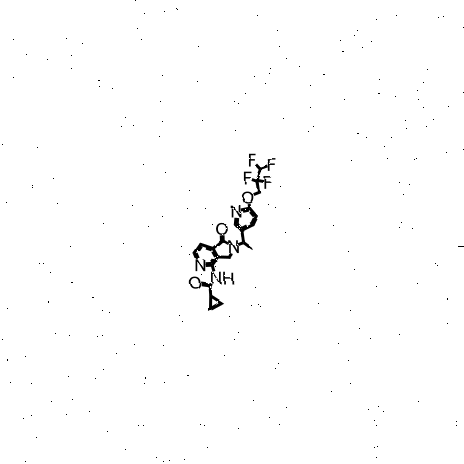 CC(c1ccc(OCC(F)(F)C(F)F)nc1)N1Cc2c(ccnc2NC(=O)C2CC2)C1=O